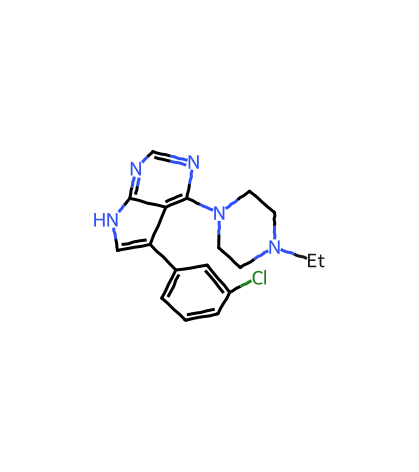 CCN1CCN(c2ncnc3[nH]cc(-c4cccc(Cl)c4)c23)CC1